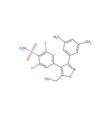 Cc1cc(C)cc(-c2noc(CO)c2-c2cc(F)c(S(N)(=O)=O)c(F)c2)c1